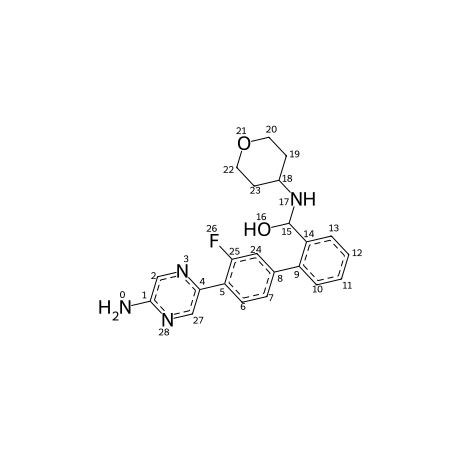 Nc1cnc(-c2ccc(-c3ccccc3C(O)NC3CCOCC3)cc2F)cn1